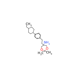 CCC1CCC(c2ccc(CCC3(N)COC(C)(C)OC3)cc2)CC1